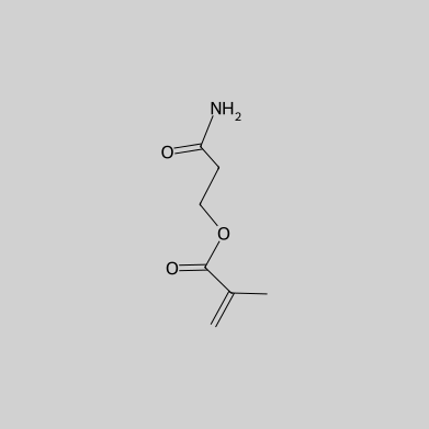 C=C(C)C(=O)OCCC(N)=O